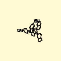 CC(C)(C)c1ccc(N(c2ccc(C(C)(C)C)cc2)c2cccc(N(c3ccc4ccccc4c3)c3ccc4ccccc4c3)c2Br)cc1